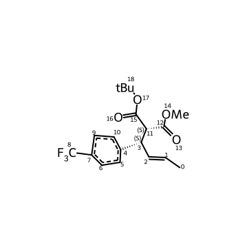 CC=C[C@H](c1ccc(C(F)(F)F)cc1)[C@@H](C(=O)OC)C(=O)OC(C)(C)C